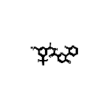 C[C@@H](NC(=O)c1ccc(=O)n(-c2cccnc2F)n1)c1cc(N)cc(C(C)(F)F)c1